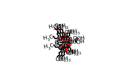 CCCCCCC(CCC)S(=O)(=O)C(C(C(C(O)(S(=O)(=O)C(CCC)CCCCCC)S(=O)(=O)C(CCC)CCCCCC)(S(=O)(=O)C(CCC)CCCCCC)S(=O)(=O)C(CCC)CCCCCC)(S(=O)(=O)C(CCC)CCCCCC)S(=O)(=O)C(CCC)CCCCCC)S(=O)(=O)C(CCC)CCCCCC.O=P(O)(O)O